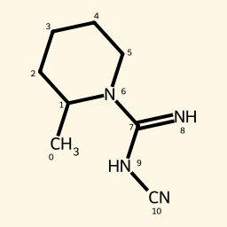 CC1CCCCN1C(=N)NC#N